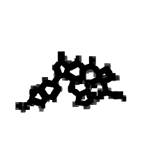 Cc1nc2ccc(-c3c[nH]c4nc(Nc5cnn(C(C)C)c5Cl)nc(OC5CCCC5)c34)cc2o1